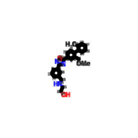 COCc1cc(-c2nc(-c3cccc(CNCCO)c3)no2)ccc1-c1ccccc1C